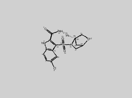 NC(=O)c1[nH]c2ccc(Cl)cc2c1S(=O)(=O)N1CC2C[C@@H]1CO2